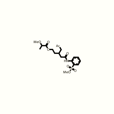 COC(C)C(=O)OCCC(CC(C)=O)CC(=O)Nc1ccccc1S(=O)(=O)OC